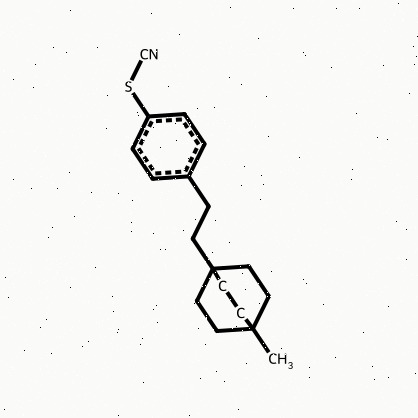 CC12CCC(CCc3ccc(SC#N)cc3)(CC1)CC2